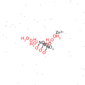 O.O.O.O.O.O.O=[N+]([O-])[O-].O=[N+]([O-])[O-].O=[N+]([O-])[O-].[Zn+3]